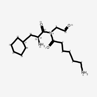 NCCCCCC(=O)N(C[C]=O)C(=O)[C@@H](N)CC1CCCCC1